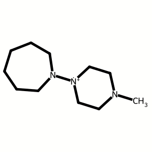 CN1CC[N+](N2CCCCCC2)CC1